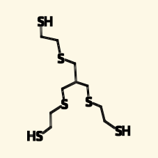 SCCSCC(CSCCS)CSCCS